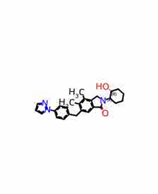 Cc1c(Cc2ccc(-n3cccn3)cc2)cc2c(c1C)CN([C@@H]1CCCC[C@H]1O)C2=O